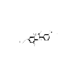 COc1cccc(C(Nc2c(Cl)cc(OC)cc2Cl)C(=O)O)c1